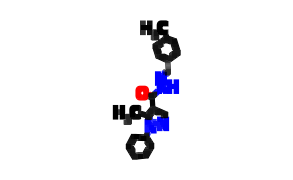 Cc1ccc(C=NNC(=O)c2cnn(-c3ccccc3)c2C)cc1